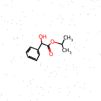 CC(C)OC(=O)C(O)c1ccccc1